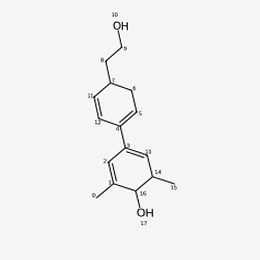 CC1=CC(C2=CCC(CCO)C=C2)=CC(C)C1O